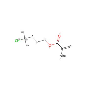 C=C(CCCC)C(=O)OCCC[Si](C)(C)Cl